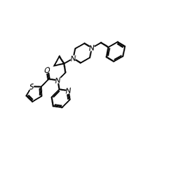 O=C(c1cccs1)N(CC1(N2CCN(Cc3ccccc3)CC2)CC1)c1ccccn1